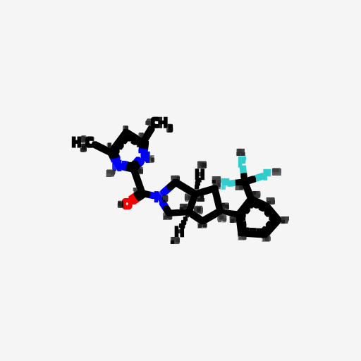 Cc1cc(C)nc(C(=O)N2C[C@H]3C[C@@H](c4ccccc4C(F)(F)F)C[C@H]3C2)n1